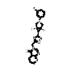 O=c1c2cccnc2ncn1Cc1nc([C@H]2[C@@H]3CN(c4cccc(F)c4)C[C@@H]32)no1